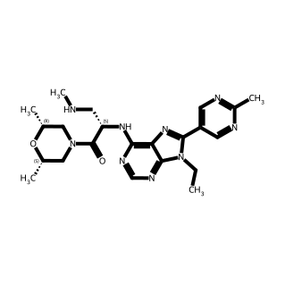 CCn1c(-c2cnc(C)nc2)nc2c(N[C@@H](CNC)C(=O)N3C[C@@H](C)O[C@@H](C)C3)ncnc21